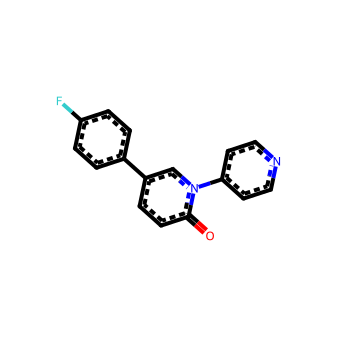 O=c1ccc(-c2ccc(F)cc2)cn1-c1ccncc1